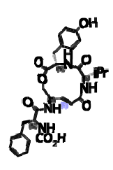 CC(C)[C@@H]1NC(=O)/C=C/[C@@H](NC(=O)[C@H](Cc2ccccc2)NC(=O)O)COC(=O)[C@H](Cc2ccc(O)cc2)NC1=O